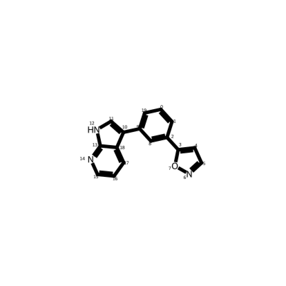 c1cc(-c2ccno2)cc(-c2c[nH]c3ncccc23)c1